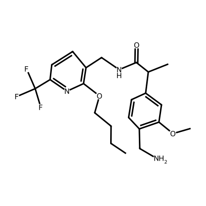 CCCCOc1nc(C(F)(F)F)ccc1CNC(=O)C(C)c1ccc(CN)c(OC)c1